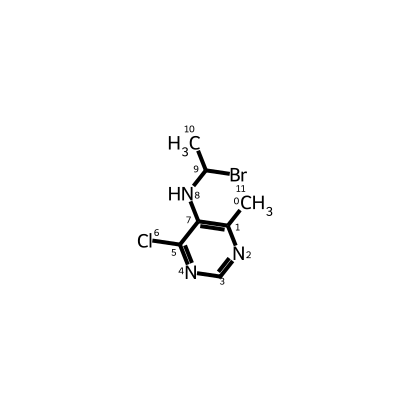 Cc1ncnc(Cl)c1NC(C)Br